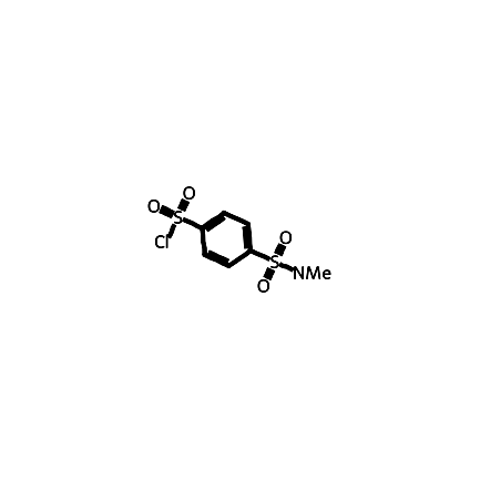 CNS(=O)(=O)c1ccc(S(=O)(=O)Cl)cc1